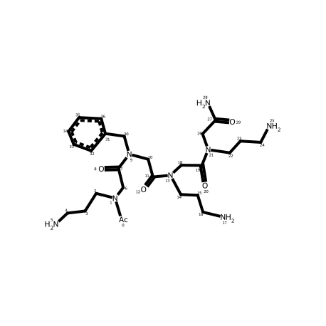 CC(=O)N(CCCN)CC(=O)N(CC(=O)N(CCCN)CC(=O)N(CCCN)CC(N)=O)Cc1ccccc1